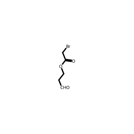 O=CCCOC(=O)CBr